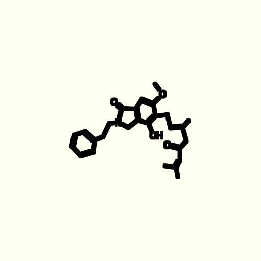 COc1cc2c(c(O)c1C/C=C(\C)CC(=O)C=C(C)C)CN(CCc1ccccc1)C2=O